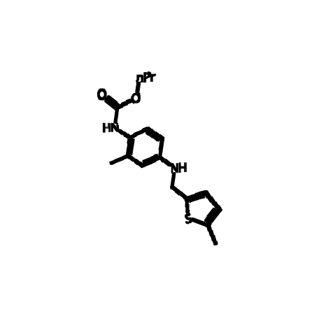 CCCOC(=O)Nc1ccc(NCc2ccc(C)s2)cc1C